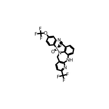 N#Cc1cccc2c1N(S(=O)(=O)c1ccc(OC(F)(F)F)cc1)Cc1ccc(C(F)(F)F)nc1N2